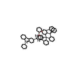 c1ccc(-c2nc(-c3ccc4c(c3)c3ccccc3n4-c3ccccc3)nc(-c3ccccc3C3(c4ccccc4)c4ccccc4C4(c5ccccc5)c5ccccc5-c5cccc3c54)n2)cc1